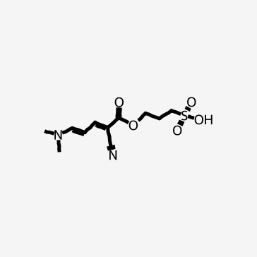 CN(C)/C=C/C=C(\C#N)C(=O)OCCCS(=O)(=O)O